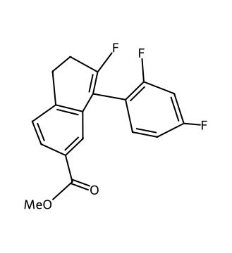 COC(=O)c1ccc2c(c1)C(c1ccc(F)cc1F)=C(F)CC2